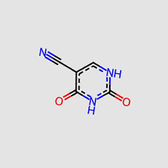 N#Cc1c[nH]c(=O)[nH]c1=O